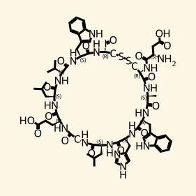 CC(C)C[C@@H]1NC(=O)[C@H](Cc2c[nH]cn2)NC(=O)[C@H](Cc2c[nH]c3ccccc23)NC(=O)[C@H](C)NC(=O)[C@@H](NC(=O)[C@@H](N)CC(=O)O)CSSC[C@@H](I=O)NC(=O)[C@H](Cc2c[nH]c3ccccc23)NC(=O)[C@H](C(C)C)NC(=O)[C@H](CC(C)C)NC(=O)[C@H](CCC(=O)O)NC(=O)CNC1=O